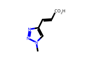 Cn1cc(C=CC(=O)O)nn1